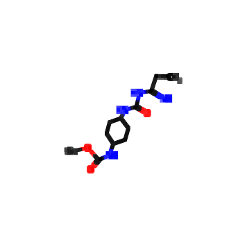 C=CC(=N)NC(=O)NC1CCC(NC(=O)OC(C)(C)C)CC1